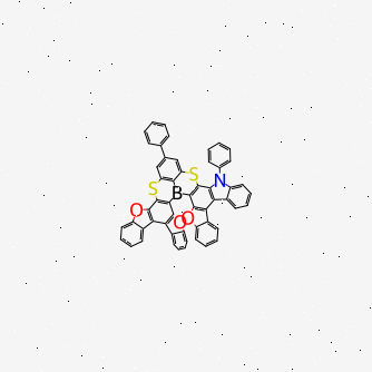 c1ccc(-c2cc3c4c(c2)Sc2c(c5oc6ccccc6c5c5c6ccccc6n(-c6ccccc6)c25)B4c2c(c4oc5ccccc5c4c4c2oc2ccccc24)S3)cc1